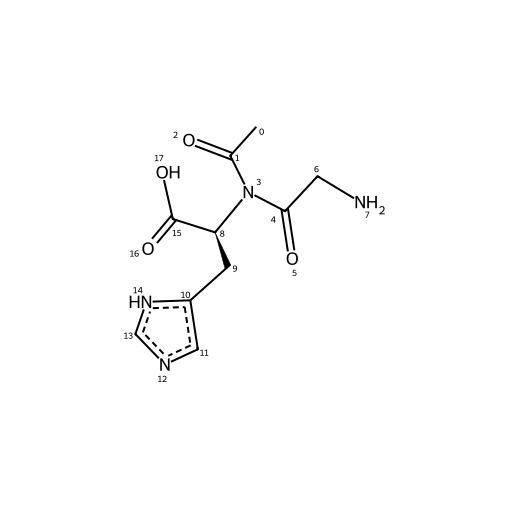 CC(=O)N(C(=O)CN)[C@@H](Cc1cnc[nH]1)C(=O)O